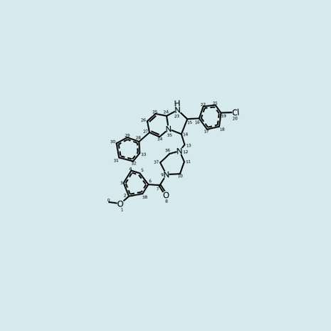 COc1cccc(C(=O)N2CCN(CC3C(c4ccc(Cl)cc4)NC4C=CC(c5ccccc5)=CN43)CC2)c1